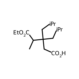 CCOC(=O)C(C)C(CC(=O)O)(CC(C)C)CC(C)C